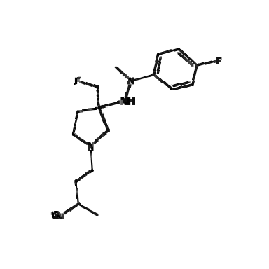 CC(CCN1CCC(CF)(NN(C)c2ccc(F)cc2)C1)C(C)(C)C